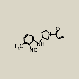 C=CC(=O)N1CC[C@H](Nc2cccc(C(F)(F)F)c2N=O)C1